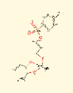 C=CCO[Si](CCC)(OCC=C)OCC=COS(=O)(=O)c1ccc(C)cc1